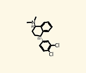 CN(C)[C@@H]1CC[C@@H](c2ccc(Cl)c(Cl)c2)c2ccccc21